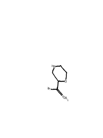 C=C(C(C)C)C1CNCCO1